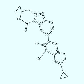 O=C1NC2(CC2)Cn2nc3ccc(-c4cn5ccc(C6CC6)nc5c(Br)c4=O)cc3c21